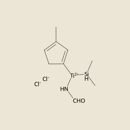 CC1=CC[C]([Ti+2]([NH]C=O)[SiH](C)C)=C1.[Cl-].[Cl-]